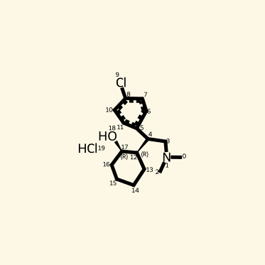 CN(C)CC(c1ccc(Cl)cc1)[C@H]1CCCC[C@H]1O.Cl